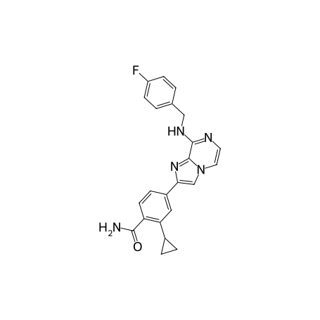 NC(=O)c1ccc(-c2cn3ccnc(NCc4ccc(F)cc4)c3n2)cc1C1CC1